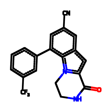 N#Cc1cc(-c2cccc(C(F)(F)F)c2)c2c(c1)cc1n2CCNC1=O